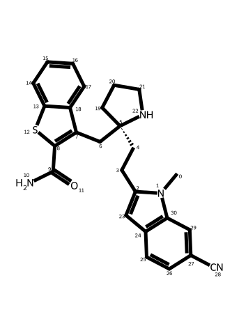 Cn1c(CC[C@]2(Cc3c(C(N)=O)sc4ccccc34)CCCN2)cc2ccc(C#N)cc21